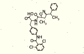 CC(C1=NO[C@](C)(C(=O)NC(Cc2ccc(NC(=O)c3c(Cl)cccc3Cl)cc2)C(=O)O)C1)c1ccccc1